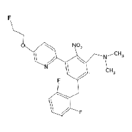 CN(C)Cc1[c]c(Cc2c(F)cccc2F)cc(-c2ccc(OCCF)cn2)c1[N+](=O)[O-]